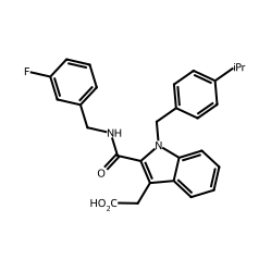 CC(C)c1ccc(Cn2c(C(=O)NCc3cccc(F)c3)c(CC(=O)O)c3ccccc32)cc1